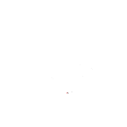 CC1(C)c2ccccc2-c2cc3c4ccccc4n(-c4ccc(-c5nc(-c6ccccc6)nc(-c6ccc7c(c6)oc6ccccc67)n5)c5c4C4C6=CC5(C=CC=C6)c5ccccc54)c3cc21